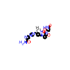 Cc1cc(CNc2cccc3c2C(=O)N(C2CCC(=O)NC2=O)C3=O)ccc1CN1CCN(c2cncc(C(N)=O)c2)CC1